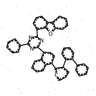 c1ccc(-c2nc(-c3ccc(-c4ccccc4-c4ccccc4-c4ccccc4)c4ccccc34)nc(-c3cccc4c3oc3ccccc34)n2)cc1